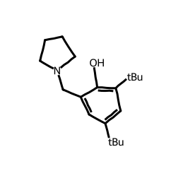 CC(C)(C)c1cc(CN2CCCC2)c(O)c(C(C)(C)C)c1